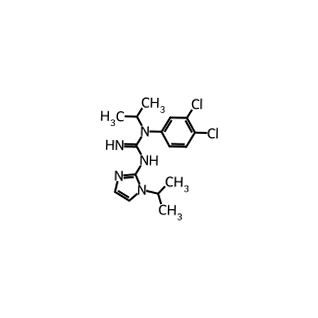 CC(C)N(C(=N)Nc1nccn1C(C)C)c1ccc(Cl)c(Cl)c1